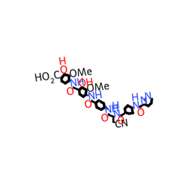 COc1c(NC(=O)c2ccc(NC(=O)c3ccc(NC(=O)C(CC#N)NC(=O)c4ccc(NC(=O)c5cccnn5)cc4)cc3)c(OC)c2O)ccc(C(=O)O)c1O